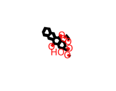 COC(=O)C1(O)CC2=C(C(=O)c3cc4ccccc4cc3C2=O)C2(C1)OCCO2